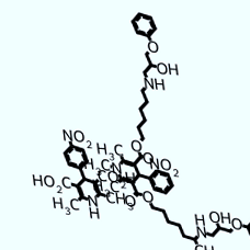 CC1=C(C(=O)O)C(c2ccc([N+](=O)[O-])cc2)C(C(=O)O)=C(C)N1.CC1=C(C(=O)OCCCCCCNCC(O)COc2ccccc2)C(c2ccccc2[N+](=O)[O-])C(C(=O)OCCCCCC(C)NCC(O)COc2ccccc2)=C(C)N1C